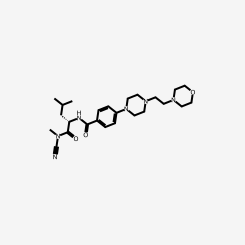 CC(C)C[C@H](NC(=O)c1ccc(N2CCN(CCN3CCOCC3)CC2)cc1)C(=O)N(C)C#N